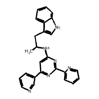 CC(Cc1c[nH]c2ccccc12)Nc1cc(-c2cccnc2)nc(-c2ccccn2)n1